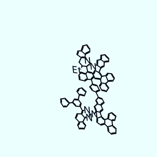 CCC1Cc2ccc3ccccc3c2N=C(n2c3cc4ccccc4cc3c3c4c5ccccc5c5ccccc5c4ccc32)C1c1ccc(-c2ccc(-c3ccc4cc5c6c7c8ccccc8c8ccccc8c7ccc6n(-c6nc(-c7cc(-c8ccccc8)cc(-c8ccccc8)c7)c7ccc8ccccc8c7n6)c5cc4c3)cc2)c2ccccc12